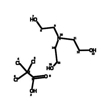 O=C(O)C(Cl)(Cl)Cl.OCCN(CCO)CCO